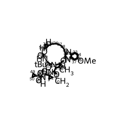 C=C[C@@H]1C[C@]1(NC(=O)C1[C@H](C)[C@@H]2CN1C(=O)[C@H](C(C)(C)C)NC(=O)O[C@@H]1C[C@H]1CCCCCc1nc3ccc(OC)cc3nc1O2)C(=O)NS(=O)(=O)C1CC1